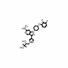 CCNc1cc2c(cn1)c(-c1cnn(C[C@@H](O)C(C)(C)O)c1)nn2[C@H]1CC[C@@H](Oc2cccc(F)c2F)CC1